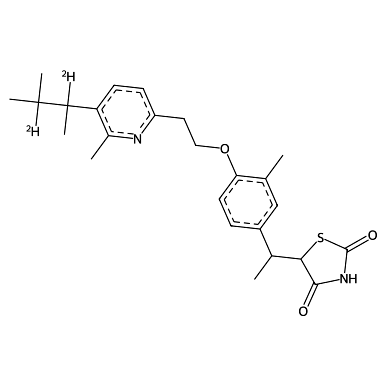 [2H]C(C)(C)C([2H])(C)c1ccc(CCOc2ccc(C(C)C3SC(=O)NC3=O)cc2C)nc1C